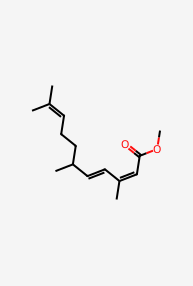 COC(=O)C=C(C)C=CC(C)CCC=C(C)C